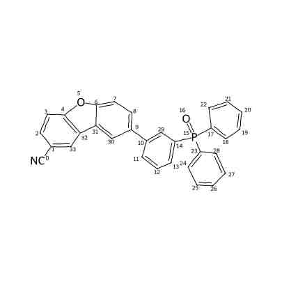 N#Cc1ccc2oc3ccc(-c4cccc(P(=O)(c5ccccc5)c5ccccc5)c4)cc3c2c1